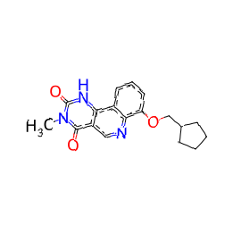 Cn1c(=O)[nH]c2c(cnc3c(OCC4CCCC4)cccc32)c1=O